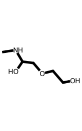 CNC(O)COCCO